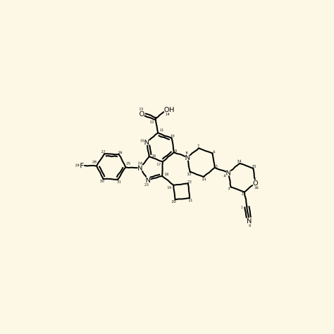 N#CC1CN(C2CCN(c3cc(C(=O)O)nc4c3c(C3CCC3)nn4-c3ccc(F)cc3)CC2)CCO1